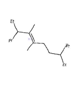 CCC(CC/C(C)=C(\C)C(CC)C(C)C)C(C)C